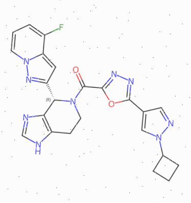 O=C(c1nnc(-c2cnn(C3CCC3)c2)o1)N1CCc2[nH]cnc2[C@@H]1c1cc2c(F)cccn2n1